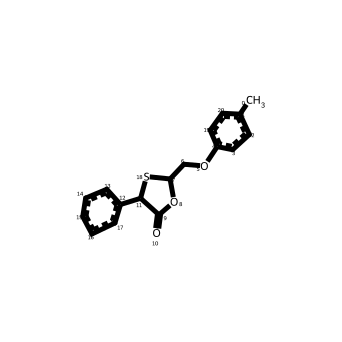 Cc1ccc(OCC2OC(=O)C(c3ccccc3)S2)cc1